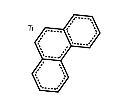 [Ti].c1ccc2c(c1)ccc1ccccc12